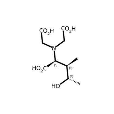 C[C@@H]([C@H](C)O)[C@@H](C(=O)O)N(CC(=O)O)CC(=O)O